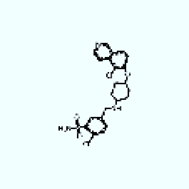 NS(=O)(=O)c1cc(CNC2CCC(Oc3ccc4cnccc4c3Cl)CC2)ccc1Cl